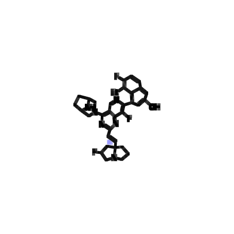 CCc1c(F)ccc2cc(O)cc(-c3ncc4c(N5CC6CCC(C5)N6)nc(/C=C/C56CCCN5CC(F)C6)nc4c3F)c12